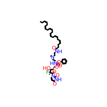 CC/C=C\C/C=C\C/C=C\C/C=C\C/C=C\C/C=C\CCC(=O)NCCN(C)CCNP(=O)(OC[C@H]1O[C@@H](n2ccc(=O)[nH]c2=O)[C@](C)(F)[C@@H]1O)Oc1ccccc1